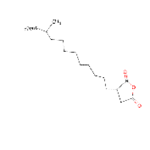 CCCCCC(C)CCCCCCCCCC1CC(=O)OC1=O